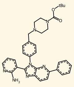 CC(C)(C)OC(=O)N1CCN(Cc2ccc(-n3c(-c4cccnc4N)nc4ccc(-c5ccccc5)nc43)cc2)CC1